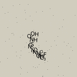 CN(c1ccc(-c2ncc(CNC(=O)CO)s2)nn1)C1(c2ncccc2F)CCC1